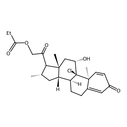 CCC(=O)OCC(=O)[C]1[C@@H](C)C[C@H]2[C@@H]3CCC4=CC(=O)C=C[C@]4(C)[C@@]3(Cl)[C@@H](O)C[C@@]12C